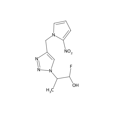 CC(C(O)F)n1cc(Cn2cccc2[N+](=O)[O-])nn1